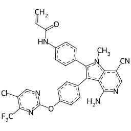 C=CC(=O)Nc1ccc(-c2c(-c3ccc(Oc4ncc(Cl)c(C(F)(F)F)n4)cc3)c3c(N)ncc(C#N)c3n2C)cc1